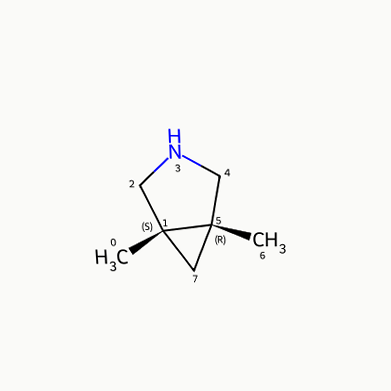 C[C@@]12CNC[C@]1(C)C2